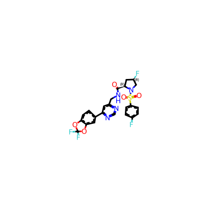 O=C(NCc1cc(-c2ccc3c(c2)OC(F)(F)O3)ncn1)[C@H]1C[C@@H](F)CN1S(=O)(=O)c1ccc(F)cc1